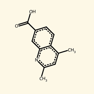 Cc1cc(C)c2ccc(C(=O)O)cc2n1